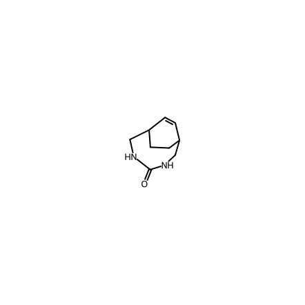 O=C1NCC2C=CC(CC2)CN1